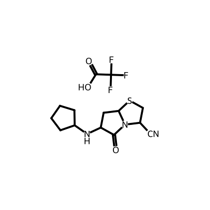 N#CC1CSC2CC(NC3CCCC3)C(=O)N12.O=C(O)C(F)(F)F